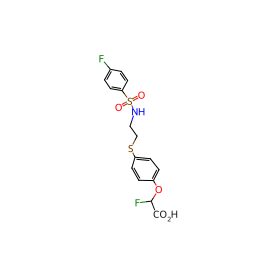 O=C(O)C(F)Oc1ccc(SCCNS(=O)(=O)c2ccc(F)cc2)cc1